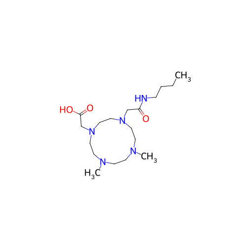 CCCCNC(=O)CN1CCN(C)CCN(C)CCN(CC(=O)O)CC1